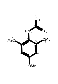 COc1cc(OC)c(NC(=O)C(F)(F)F)c(OC)c1